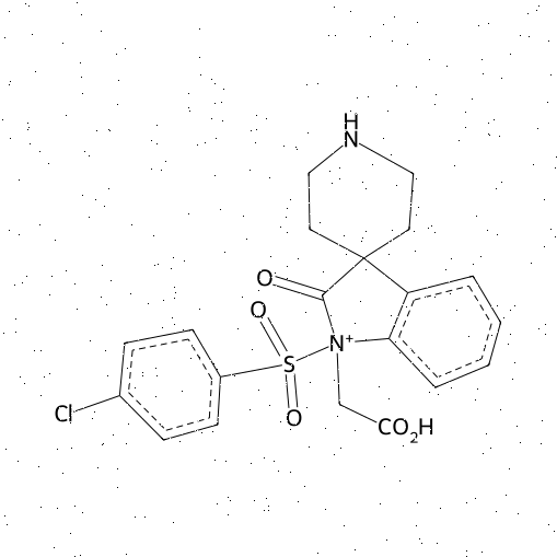 O=C(O)C[N+]1(S(=O)(=O)c2ccc(Cl)cc2)C(=O)C2(CCNCC2)c2ccccc21